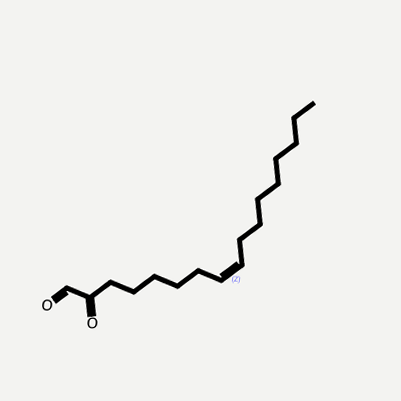 CCCCCCCC/C=C\CCCCCC(=O)C=O